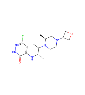 CC([C@H](C)Nc1cc(Cl)n[nH]c1=O)N1CCN(C2COC2)C[C@@H]1C